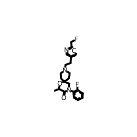 CC1OC2(CCN(CCc3ccc(CF)nc3)CC2)CN(c2ccccc2F)C1=O